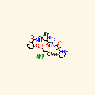 COCCCCOc1ccccc1C(=O)NC[C@@H](C[C@H](N)[C@@H](O)CNC(=O)C(C)(C)C1CCCCN1)C(C)C.Cl.Cl